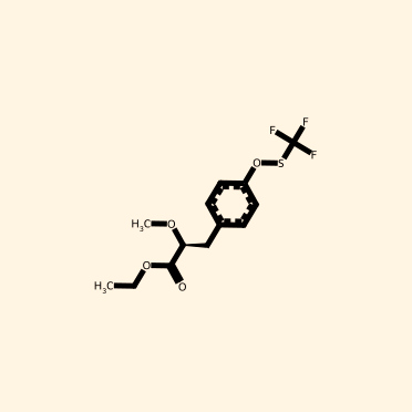 CCOC(=O)[C@H](Cc1ccc(OSC(F)(F)F)cc1)OC